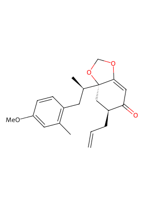 C=CC[C@H]1C[C@]2([C@H](C)Cc3ccc(OC)cc3C)OCOC2=CC1=O